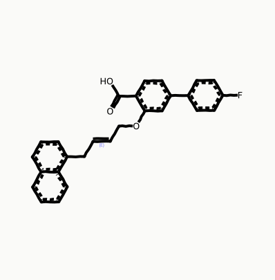 O=C(O)c1ccc(-c2ccc(F)cc2)cc1OC/C=C/Cc1cccc2ccccc12